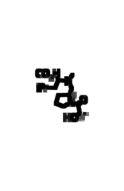 CC(C)CC(C(=O)O)N(C)C[C@@H]1CCCN1C(=O)[C@H](C)O